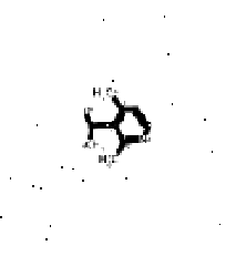 Cc1ccnc(C)c1C(C)I